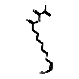 C=C(C)C(=O)OC(=O)CCCCCCC/C=C\CCCCCC